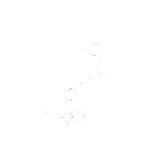 COc1ccc(CCN(C)CCCOc2ccc(Sc3c(C(C)C)[nH]c4ccccc34)cc2)cc1OC